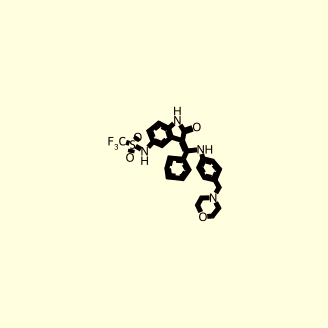 O=C1Nc2ccc(NS(=O)(=O)C(F)(F)F)cc2/C1=C(/Nc1ccc(CN2CCOCC2)cc1)c1ccccc1